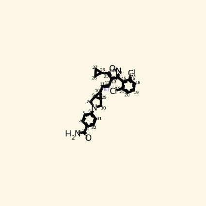 NC(=O)c1ccc(N2CC3C(/C=C/c4c(-c5c(Cl)cccc5Cl)noc4C4CC4)C3C2)cc1